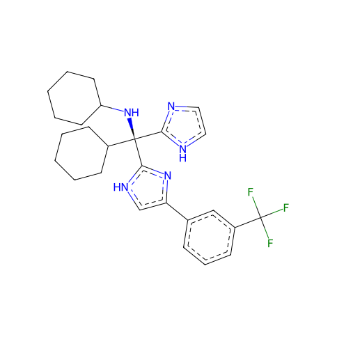 FC(F)(F)c1cccc(-c2c[nH]c([C@@](NC3CCCCC3)(c3ncc[nH]3)C3CCCCC3)n2)c1